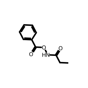 CCC(=O)NOC(=O)c1ccccc1